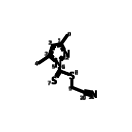 Cc1cc(C)n(C(=S)SCC#N)n1